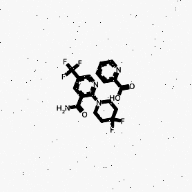 NC(=O)c1cc(C(F)(F)F)cnc1N1CCC(F)(F)CC1.O=C(O)c1ccccn1